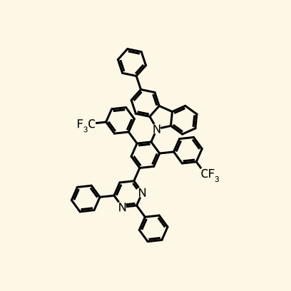 FC(F)(F)c1cccc(-c2cc(-c3cc(-c4ccccc4)nc(-c4ccccc4)n3)cc(-c3cccc(C(F)(F)F)c3)c2-n2c3ccccc3c3cc(-c4ccccc4)ccc32)c1